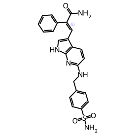 NC(=O)/C(=C/c1c[nH]c2nc(NCc3ccc(S(N)(=O)=O)cc3)ccc12)c1ccccc1